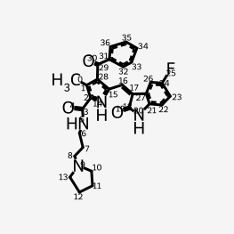 Cc1c(C(=O)NCCCN2CCCC2)[nH]c(C=C2C(=O)Nc3ccc(F)cc32)c1C(=O)c1ccccc1